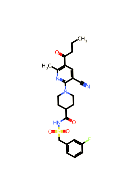 CCCC(=O)c1cc(C#N)c(N2CCC(C(=O)NS(=O)(=O)Cc3cccc(F)c3)CC2)nc1C